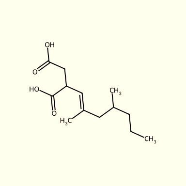 CCCC(C)CC(C)=CC(CC(=O)O)C(=O)O